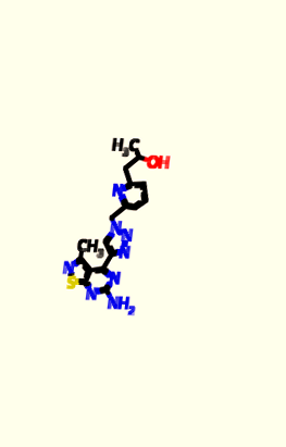 Cc1nsc2nc(N)nc(-c3cn(Cc4cccc(CC(C)O)n4)nn3)c12